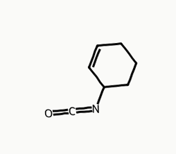 O=C=NC1C=CCCC1